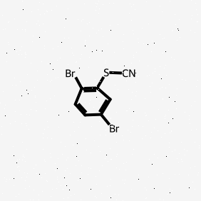 N#CSc1cc(Br)ccc1Br